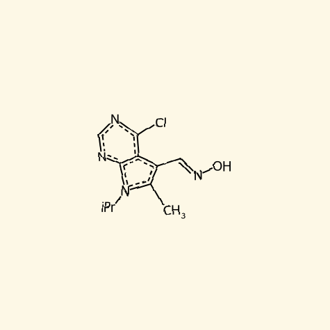 Cc1c(C=NO)c2c(Cl)ncnc2n1C(C)C